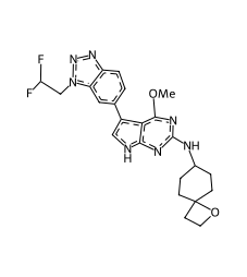 COc1nc(NC2CCC3(CCO3)CC2)nc2[nH]cc(-c3ccc4nnn(CC(F)F)c4c3)c12